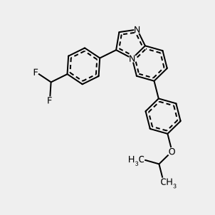 CC(C)Oc1ccc(-c2ccc3ncc(-c4ccc(C(F)F)cc4)n3c2)cc1